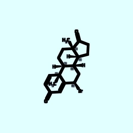 C[C@]12C=CC(=O)C=C1[C@H](Br)C[C@@H]1[C@@H]2CC[C@]2(C)C(=O)CC[C@@H]12